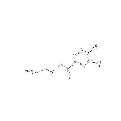 C=CCSCC(=O)c1ccc(Cl)c(Cl)c1